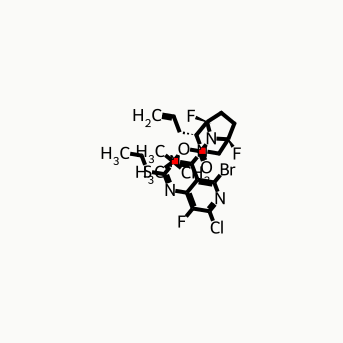 C=CC[C@H]1N(c2nc(SCC)nc3c(F)c(Cl)nc(Br)c23)C[C@@]2(F)CC[C@]1(F)N2C(=O)OC(C)(C)C